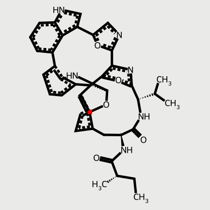 CC[C@H](C)C(=O)N[C@H]1Cc2ccc3c(c2)[C@]24c5cccc(c5NC2O3)-c2cccc3[nH]cc(c23)-c2cnc(o2)-c2nc(oc24)[C@H](C(C)C)NC1=O